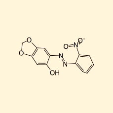 O=[N+]([O-])c1ccccc1N=Nc1cc2c(cc1O)OCO2